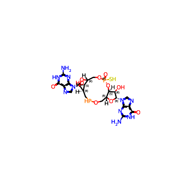 Nc1nc2c(ncn2[C@@H]2O[C@@H]3COPC[C@@H]4[C@H](O)[C@@H](CO[P@@](=O)(S)O[C@H]3[C@H]2O)O[C@H]4n2cnc3c(=O)[nH]c(N)nc32)c(=O)[nH]1